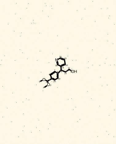 COC(OC)c1ccc(C(CCO)c2cccnc2)cc1